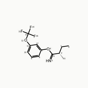 CC[C@H](C)C(=N)Oc1cccc(OC(F)(F)F)c1